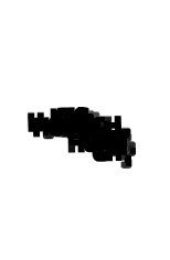 CC[C@@](C)(O)[C@@H](O)CC[C@@H](C)[C@H]1CC[C@@]2(C)C3=CC[C@H]4C(C)(C)[C@@H](O)CC[C@]4(C)C3=CC[C@]12C